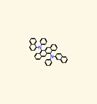 c1ccc(N(c2ccc3ccccc3c2)c2c3ccccc3cc3c(N(c4ccccc4)c4cccc5ccccc45)c4ccccc4cc23)cc1